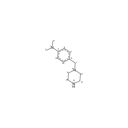 CN(C)c1ccc(CN2CCNCC2)cc1